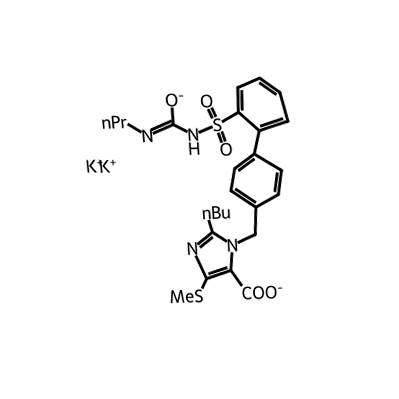 CCCCc1nc(SC)c(C(=O)[O-])n1Cc1ccc(-c2ccccc2S(=O)(=O)NC([O-])=NCCC)cc1.[K+].[K+]